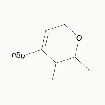 CCCCC1=CCOC(C)C1C